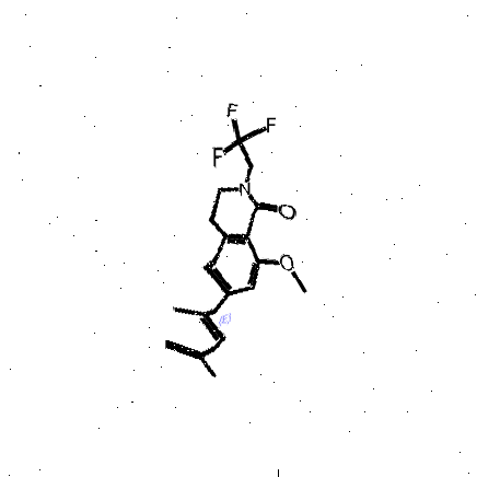 C=C(C)/C=C(\C)c1cc2c(c(OC)c1)C(=O)N(CC(F)(F)F)CC2